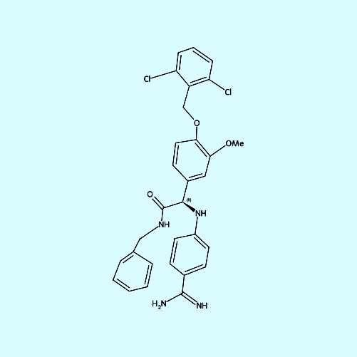 COc1cc([C@@H](Nc2ccc(C(=N)N)cc2)C(=O)NCc2ccccc2)ccc1OCc1c(Cl)cccc1Cl